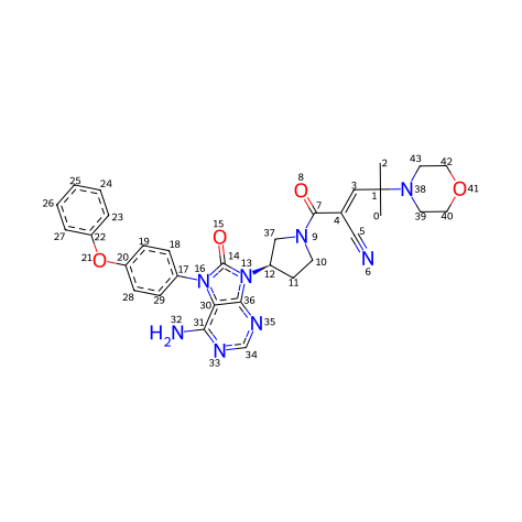 CC(C)(C=C(C#N)C(=O)N1CC[C@@H](n2c(=O)n(-c3ccc(Oc4ccccc4)cc3)c3c(N)ncnc32)C1)N1CCOCC1